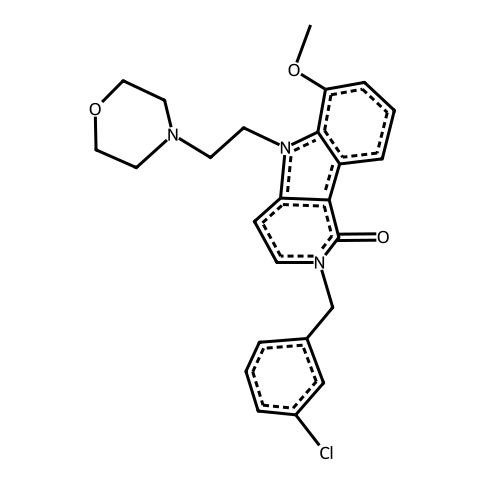 COc1cccc2c3c(=O)n(Cc4cccc(Cl)c4)ccc3n(CCN3CCOCC3)c12